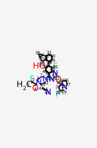 C=C(F)C(=O)N1CCN(c2nc(OC[C@@]34CCCN3C[C@H](F)C4)nc3c(F)c(-c4cccc5c4CC4CC54)c(O)cc23)C[C@@H]1CC#N